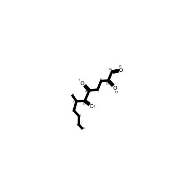 CCCCC(C)C(=O)C(=O)CCC(=O)C=O